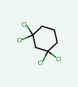 ClC1(Cl)[CH]C(Cl)(Cl)CCC1